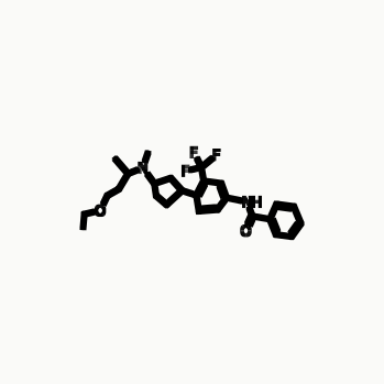 CCOCCC(C)N(C)C1CCC(c2ccc(NC(=O)c3ccccc3)cc2C(F)(F)F)C1